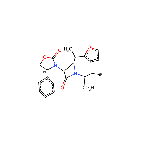 CC(C)CC(C(=O)O)N1C(=O)C(N2C(=O)OC[C@H]2c2ccccc2)C1C(C)c1ccco1